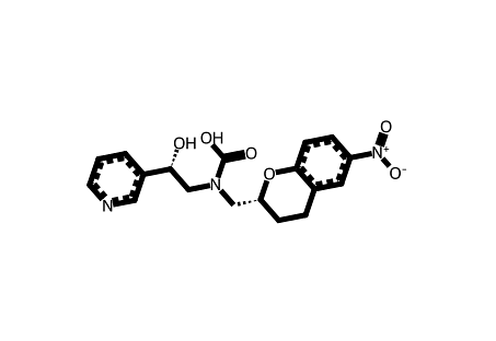 O=C(O)N(C[C@H]1CCc2cc([N+](=O)[O-])ccc2O1)C[C@@H](O)c1cccnc1